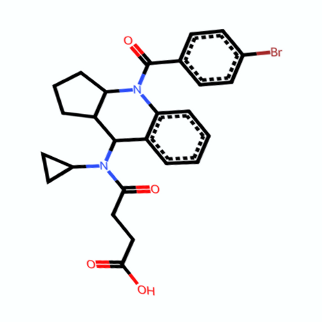 O=C(O)CCC(=O)N(C1CC1)C1c2ccccc2N(C(=O)c2ccc(Br)cc2)C2CCCC21